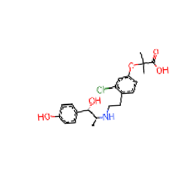 C[C@H](NCCc1ccc(OC(C)(C)C(=O)O)cc1Cl)[C@@H](O)c1ccc(O)cc1